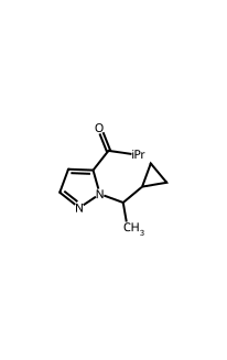 CC(C)C(=O)c1ccnn1C(C)C1CC1